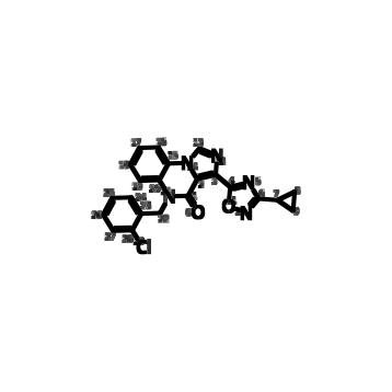 O=c1c2c(-c3nc(C4CC4)no3)ncn2c2ccccc2n1Cc1ccccc1Cl